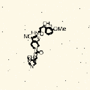 COc1cccc([C@@H](C)CC(=O)Nc2sc3c(c2C#N)CCN(C(=O)OCc2cncn2C)C3)c1